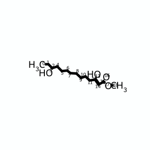 CCC(O)CCCCCCCCC(O)=CC(=O)OC